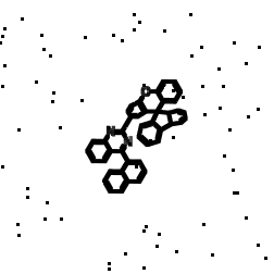 C1=CC2c3ccccc3C3(c4ccccc4Oc4ccc(-c5nc(-c6cccc7ccccc67)c6ccccc6n5)cc43)C2C=C1